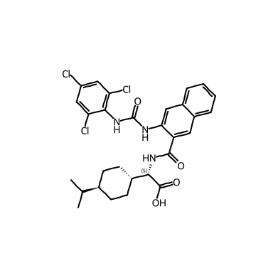 CC(C)[C@H]1CC[C@H]([C@H](NC(=O)c2cc3ccccc3cc2NC(=O)Nc2c(Cl)cc(Cl)cc2Cl)C(=O)O)CC1